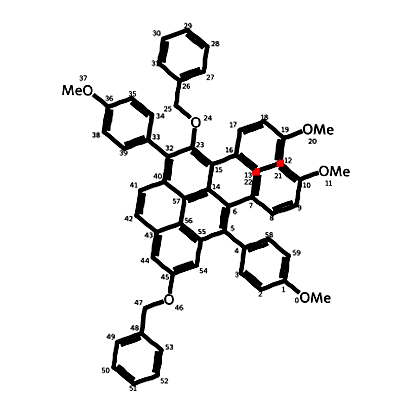 COc1ccc(-c2c(-c3ccc(OC)cc3)c3c(-c4ccc(OC)cc4)c(OCc4ccccc4)c(-c4ccc(OC)cc4)c4ccc5cc(OCc6ccccc6)cc2c5c43)cc1